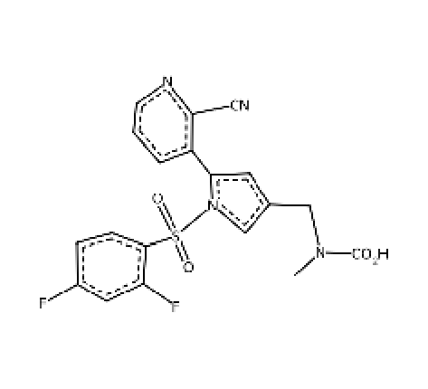 CN(Cc1cc(-c2cccnc2C#N)n(S(=O)(=O)c2ccc(F)cc2F)c1)C(=O)O